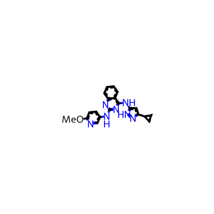 COc1ccc(Nc2nc(Nc3cc(C4CC4)n[nH]3)c3ccccc3n2)cn1